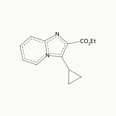 CCOC(=O)c1nc2ccccn2c1C1CC1